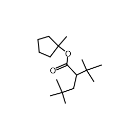 CC(C)(C)CC(C(=O)OC1(C)CCCC1)C(C)(C)C